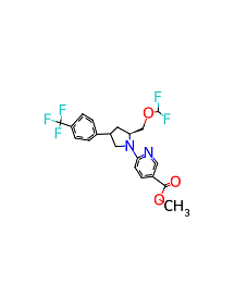 COC(=O)c1ccc(N2CC(c3ccc(C(F)(F)F)cc3)C[C@H]2COC(F)F)nc1